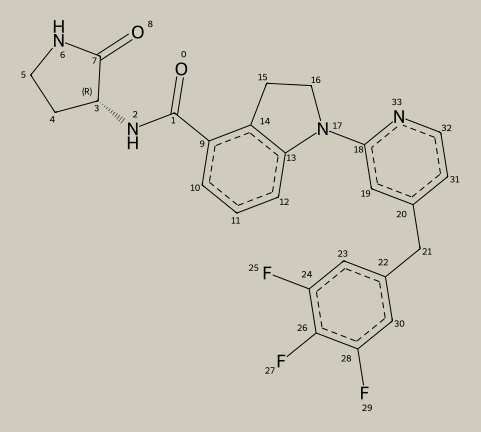 O=C(N[C@@H]1CCNC1=O)c1cccc2c1CCN2c1cc(Cc2cc(F)c(F)c(F)c2)ccn1